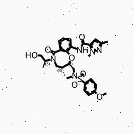 COc1ccc(S(=O)(=O)N(C)C[C@@H]2Oc3c(NC(=O)c4cc(C)nn4C)cccc3C(=O)N([C@@H](C)CO)C[C@H]2C)cc1